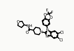 O=C(NC1CCOC1)C1CCN(c2nc3cc(Cl)c(Cl)cc3n2-c2ccc3c(c2)OC(F)(F)O3)CC1